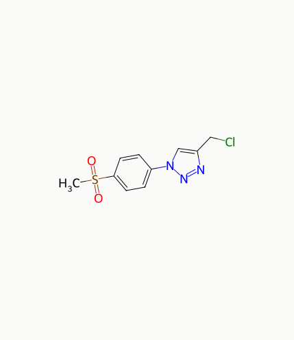 CS(=O)(=O)c1ccc(-n2cc(CCl)nn2)cc1